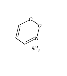 B.C1=COON=C1